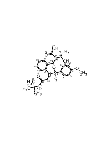 COc1ccc(S(=O)(=O)N(CC(=O)OC(C)(C)C)c2ccccc2C[C@@H](C(=O)O)C(C)C)cc1